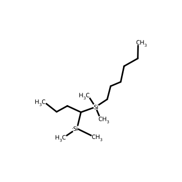 CCCCCC[Si](C)(C)C(CCC)[Si](C)C